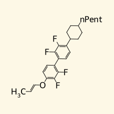 C/C=C/Oc1ccc(-c2ccc(C3CCC(CCCCC)CC3)c(F)c2F)c(F)c1F